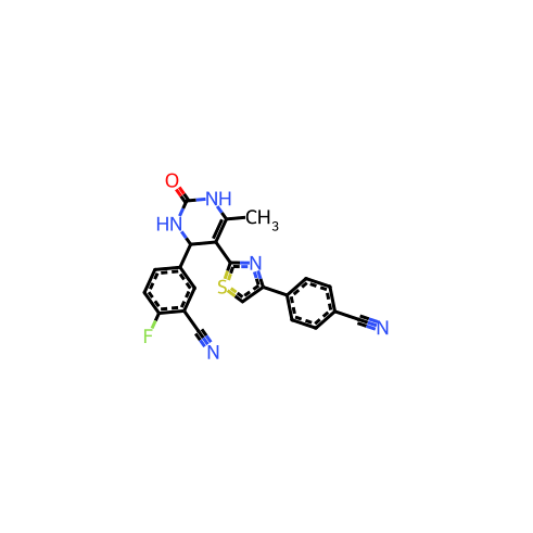 CC1=C(c2nc(-c3ccc(C#N)cc3)cs2)C(c2ccc(F)c(C#N)c2)NC(=O)N1